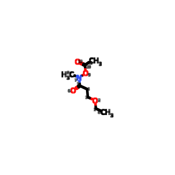 CCOCCC(=O)N(C)OC(C)=O